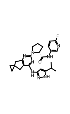 CC(C)c1cc(Nc2nc(N3CCC[C@@H]3C(=O)Nc3ccc(F)nc3)nc3c2CC2(CC2)C3)n[nH]1